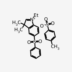 CC[N+]1=CC(C)(C)c2cc(S(=O)(=O)c3ccccc3)ccc21.Cc1ccc(S(=O)(=O)[O-])cc1